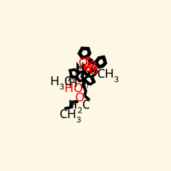 C=CC(C[C@@H](O)C12C[C@@H]3[C@H](C)CC[C@H]3C3(C4OCCO4)CC1C=C(C(C)C)C23C(=O)OC(c1ccccc1)c1ccccc1)OCCCCC